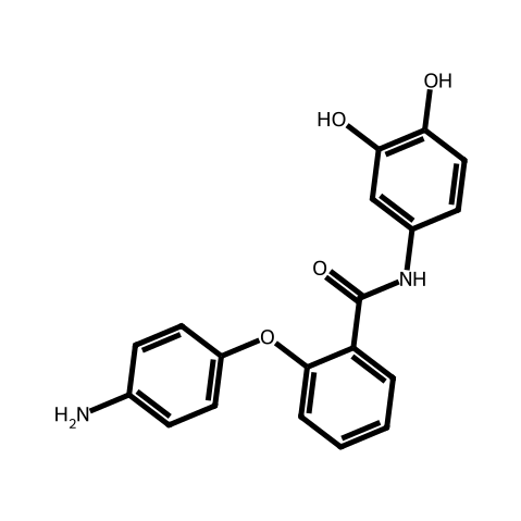 Nc1ccc(Oc2ccccc2C(=O)Nc2ccc(O)c(O)c2)cc1